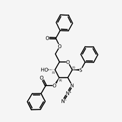 [N-]=[N+]=NC1[C@@H](OC(=O)c2ccccc2)[C@H](O)C(COC(=O)c2ccccc2)O[C@H]1Sc1ccccc1